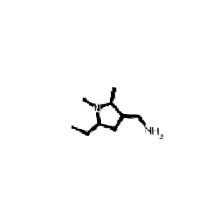 CCC1CC(CN)C(C)N1C